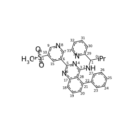 CC(C)C(Nc1nc(-c2cncc(S(C)(=O)=O)c2)nc2cccc(-c3ccccc3)c12)c1ccccn1